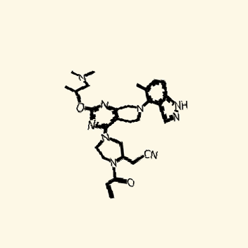 C=CC(=O)N1CCN(c2nc(OC(C)CN(C)C)nc3c2CCN(c2c(C)ccc4[nH]ncc24)C3)CC1CC#N